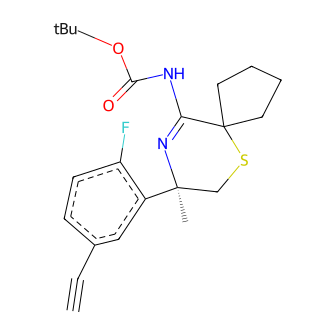 C#Cc1ccc(F)c([C@]2(C)CSC3(CCCC3)C(NC(=O)OC(C)(C)C)=N2)c1